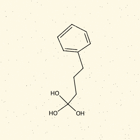 OC(O)(O)CCCc1ccccc1